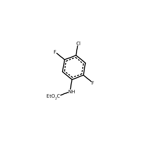 CCOC(=O)Nc1cc(F)c(Cl)cc1F